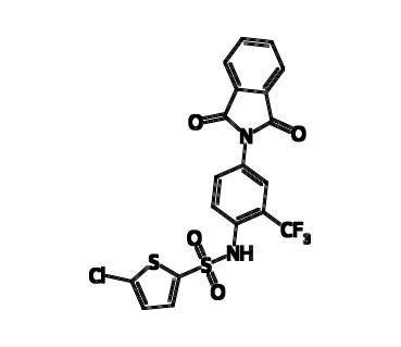 O=C1c2ccccc2C(=O)N1c1ccc(NS(=O)(=O)c2ccc(Cl)s2)c(C(F)(F)F)c1